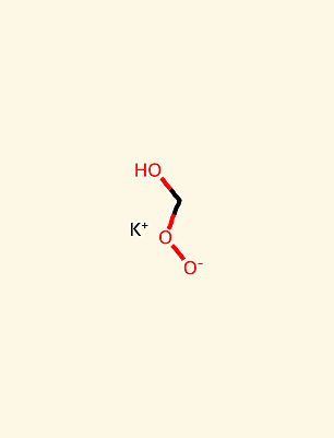 [K+].[O-]OCO